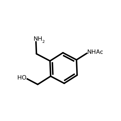 CC(=O)Nc1ccc(CO)c(CN)c1